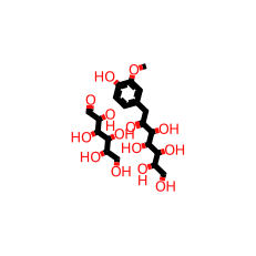 COc1cc(CC(=O)C(O)C(O)C(O)C(O)CO)ccc1O.O=CC(O)C(O)C(O)C(O)CO